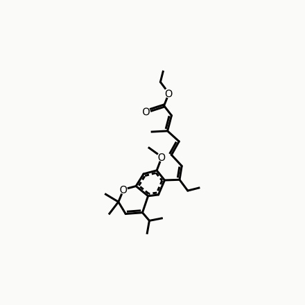 CCOC(=O)/C=C(C)/C=C/C=C(/CC)c1cc2c(cc1OC)OC(C)(C)C=C2C(C)C